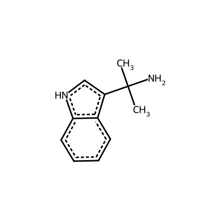 CC(C)(N)c1c[nH]c2ccccc12